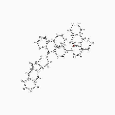 c1ccc(-c2ccc(N(c3ccc4c(c3)sc3cc5ccccc5cc34)c3ccccc3-c3ccc(-c4cc5ccccc5c5ccccc45)cc3)cc2)cc1